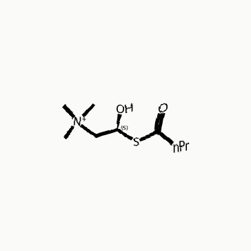 CCCC(=O)S[C@H](O)C[N+](C)(C)C